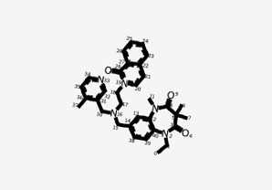 CCN1C(=O)C(C)(C)C(=O)N(C)c2cc(CN(CCn3ccc4ccccc4c3=O)Cc3cnccc3C)ccc21